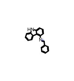 C(=N\c1cccc2[nH]c3ccccc3c12)/c1ccccc1